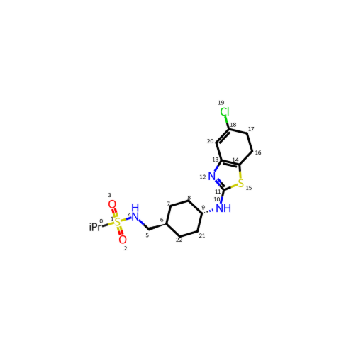 CC(C)S(=O)(=O)NC[C@H]1CC[C@H](Nc2nc3c(s2)CCC(Cl)=C3)CC1